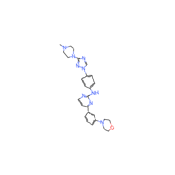 CN1CCN(c2ncn(-c3ccc(Nc4nccc(-c5cccc(N6CCOCC6)c5)n4)cc3)n2)CC1